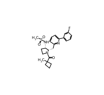 CC1(C(=O)N2CC[C@H](NS(C)(=O)=O)[C@@H]2Cc2cccc(-c3cccc(F)c3)n2)CCC1